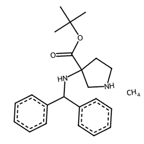 C.CC(C)(C)OC(=O)C1(NC(c2ccccc2)c2ccccc2)CCNC1